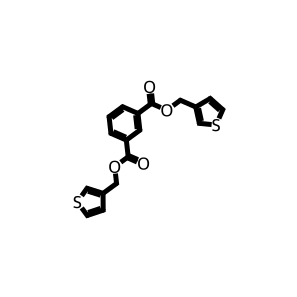 O=C(OCc1ccsc1)c1cccc(C(=O)OCc2ccsc2)c1